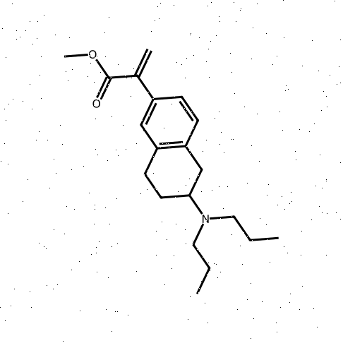 C=C(C(=O)OC)c1ccc2c(c1)CCC(N(CCC)CCC)C2